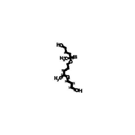 CCC(C)(CCCO)OCCCC(C)OCCCO